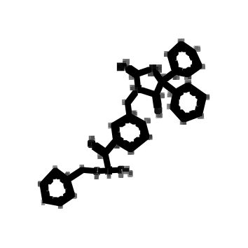 CN(CCc1ccccc1)C(=O)c1cccc(CN2C(=N)NC(c3ccccc3)(c3ccccc3)C2=O)c1